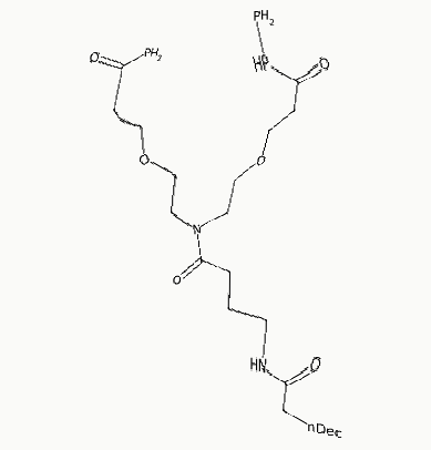 CCCCCCCCCCCC(=O)NCCCC(=O)N(CCOCCC(=O)P)CCOCCC(=O)PP